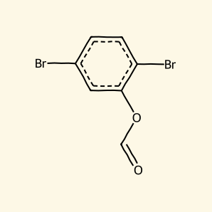 O=COc1cc(Br)ccc1Br